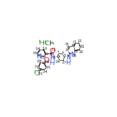 Cc1cc(N[C@H]2CC[C@@H](NC(=O)c3cccnc3Oc3ccc(Cl)cc3)CC2)nc2ccccc12.Cl